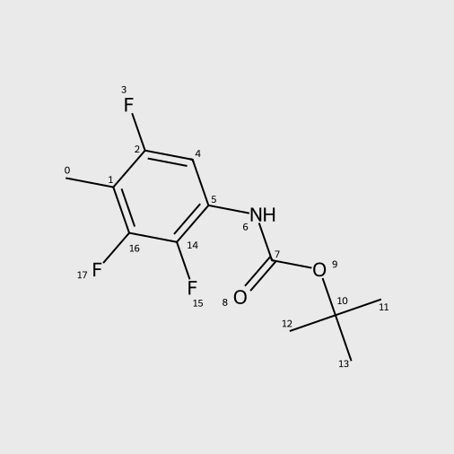 Cc1c(F)cc(NC(=O)OC(C)(C)C)c(F)c1F